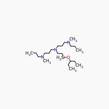 CCCN(C)CCCN(CCCN(C)CCC)CC[SiH2]OC(CC)CC